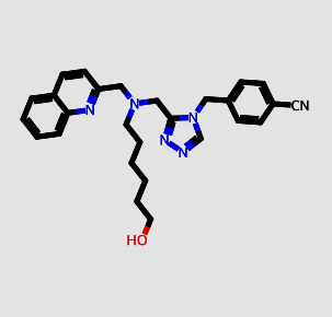 N#Cc1ccc(Cn2cnnc2CN(CCCCCCO)Cc2ccc3ccccc3n2)cc1